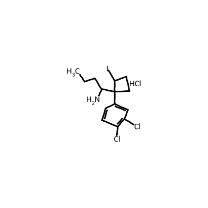 CCCC(N)C1(c2ccc(Cl)c(Cl)c2)CCC1I.Cl